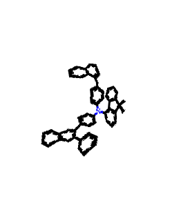 CC1(C)c2ccccc2-c2c(N(c3ccc(-c4cc5ccccc5cc4-c4ccccc4)cc3)c3ccc(-c4cccc5ccccc45)cc3)cccc21